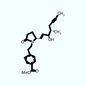 CC#CC[C@H](C)[C@@H](O)C=C[C@H]1CCC(=O)N1CCc1ccc(C(=O)OC)cc1